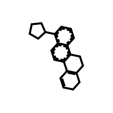 C1=CC2=C(CC1)CCc1c2ccc2c([C]3CCCC3)cccc12